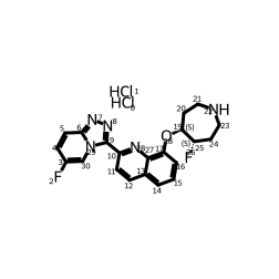 Cl.Cl.Fc1ccc2nnc(-c3ccc4cccc(O[C@H]5CCNCC[C@@H]5F)c4n3)n2c1